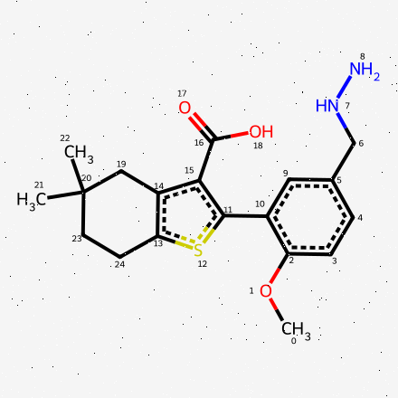 COc1ccc(CNN)cc1-c1sc2c(c1C(=O)O)CC(C)(C)CC2